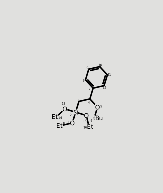 CCO[Si](CC(OC(C)(C)C)c1ccccc1)(OCC)OCC